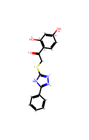 O=C(CSc1nnc(-c2ccccc2)[nH]1)c1ccc(O)cc1O